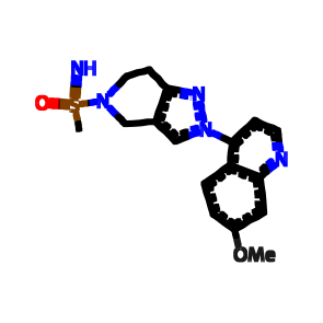 COc1ccc2c(-n3cc4c(n3)CCN(S(C)(=N)=O)C4)ccnc2c1